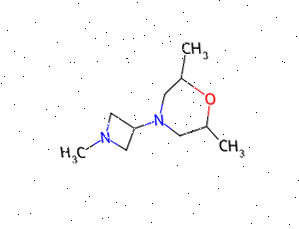 CC1CN(C2CN(C)C2)CC(C)O1